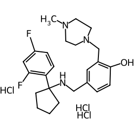 CN1CCN(Cc2cc(CNC3(c4ccc(F)cc4F)CCCC3)ccc2O)CC1.Cl.Cl.Cl